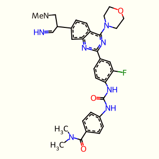 CNCC(C=N)c1ccc2c(N3CCOCC3)nc(-c3ccc(NC(=O)Nc4ccc(C(=O)N(C)C)cc4)c(F)c3)nc2c1